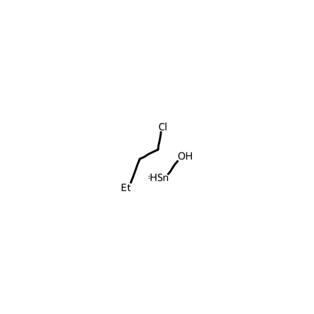 CCCCCl.[OH][SnH]